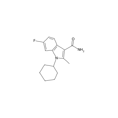 Cc1c(C(N)=O)c2ccc(F)cc2n1C1CCCCC1